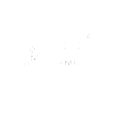 O=[N+]([O-])C=Cc1c[nH]c2cc(F)ccc12